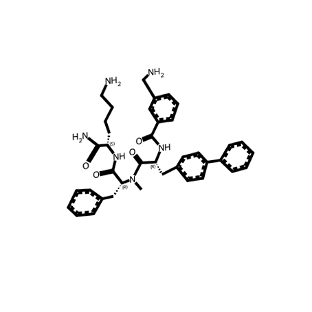 CN(C(=O)[C@@H](Cc1ccc(-c2ccccc2)cc1)NC(=O)c1cccc(CN)c1)[C@H](Cc1ccccc1)C(=O)N[C@@H](CCCCN)C(N)=O